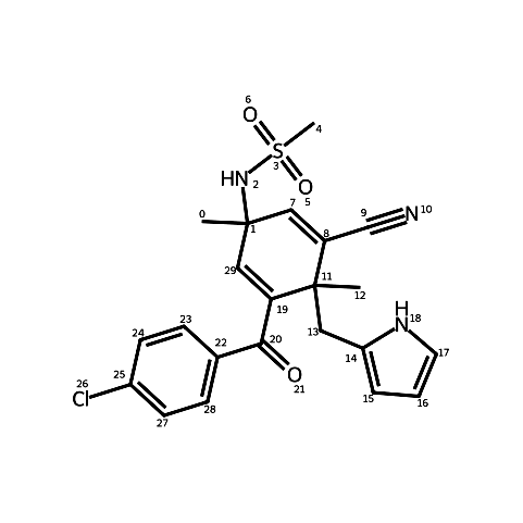 CC1(NS(C)(=O)=O)C=C(C#N)C(C)(Cc2ccc[nH]2)C(C(=O)c2ccc(Cl)cc2)=C1